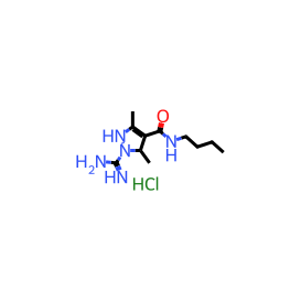 CCCCNC(=O)C1=C(C)NN(C(=N)N)C1C.Cl